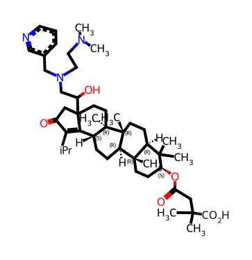 CC(C)C1=C2[C@H]3CC[C@@H]4[C@@]5(C)CC[C@H](OC(=O)CC(C)(C)C(=O)O)C(C)(C)[C@@H]5CC[C@@]4(C)[C@]3(C)CCC2(C(O)CN(CCN(C)C)Cc2cccnc2)CC1=O